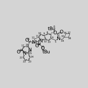 CC(C)(C)OC(=O)N(Cc1ccc2cc(CNC(=O)c3cc(=O)n4ccccc4n3)n(C(=O)OC(C)(C)C)c2c1)CC1CCC1